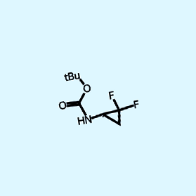 CC(C)(C)OC(=O)N[C]1CC1(F)F